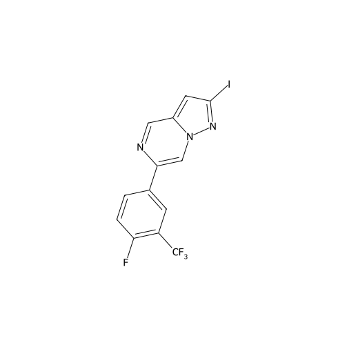 Fc1ccc(-c2cn3nc(I)cc3cn2)cc1C(F)(F)F